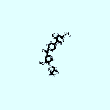 COc1cc(C(=O)N2CCC(c3cnc(N)cc3OC)CC2)ncc1OCC(C)C(F)(F)F